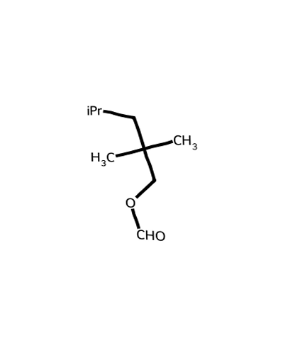 CC(C)CC(C)(C)COC=O